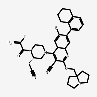 C=C(F)C(=O)N1CCN(C2=C(C#N)C(OCC34CCCN3CCC4)=NC3C=C(c4cccc5c4CCCC5)C(F)=CC23)C[C@@H]1CC#N